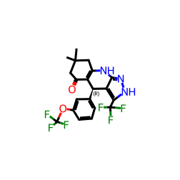 CC1(C)CC(=O)C2=C(C1)Nc1n[nH]c(C(F)(F)F)c1[C@H]2c1cccc(OC(F)(F)F)c1